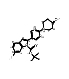 CC(C)(C)OC(=O)n1c(-c2cnc(N3CCC(=O)CC3)nc2)cc2ccc(F)cc21